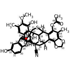 COc1c(C)cc2c(c1O)C1NC(C2)[C@H](C#N)N2C1[C@@H]1SC[C@]3(NCCc4c3[nH]c3ccc(O)cc43)C(=O)OC[C@H]2c2c3c(c(C)c(OC(C)=O)c21)OCO3